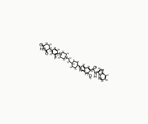 COc1cc2nn(C3CCC(CCN4CCN(c5ccc(C6CCC(=O)NC6=O)cc5F)CC4)CC3)cc2cc1C(=O)Nc1cnc2cccnn12